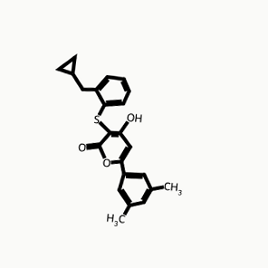 Cc1cc(C)cc(-c2cc(O)c(Sc3ccccc3CC3CC3)c(=O)o2)c1